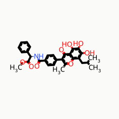 COC(=O)[C@@H](NC(=O)c1ccc(-c2c(C)oc3c(CC(C)C)c(O)c(O)c(O)c3c2=O)cc1)c1ccccc1